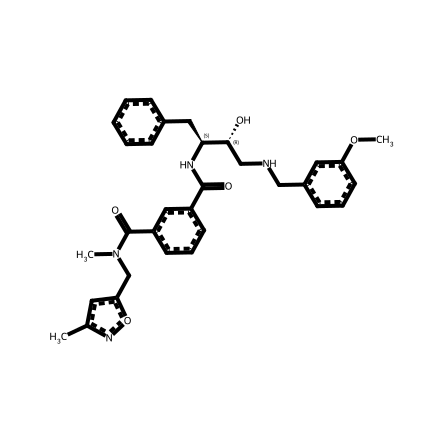 COc1cccc(CNC[C@@H](O)[C@H](Cc2ccccc2)NC(=O)c2cccc(C(=O)N(C)Cc3cc(C)no3)c2)c1